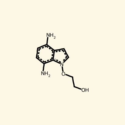 Nc1ccc(N)c2c1ccn2OCCO